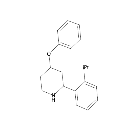 CC(C)c1ccccc1C1CC(Oc2ccccc2)CCN1